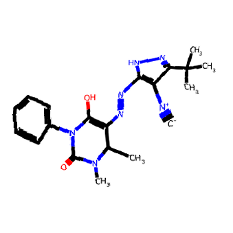 [C-]#[N+]c1c(C(C)(C)C)n[nH]c1/N=N/C1=C(O)N(c2ccccc2)C(=O)N(C)C1C